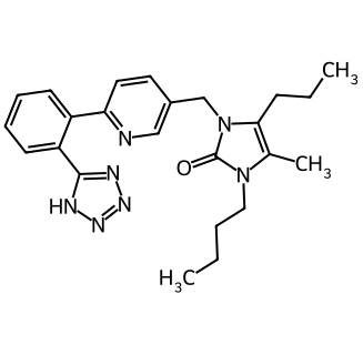 CCCCn1c(C)c(CCC)n(Cc2ccc(-c3ccccc3-c3nnn[nH]3)nc2)c1=O